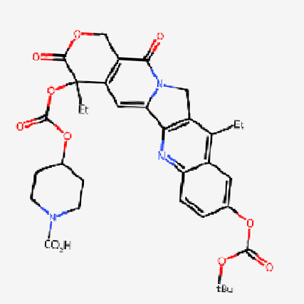 CCc1c2c(nc3ccc(OC(=O)OC(C)(C)C)cc13)-c1cc3c(c(=O)n1C2)COC(=O)C3(CC)OC(=O)OC1CCN(C(=O)O)CC1